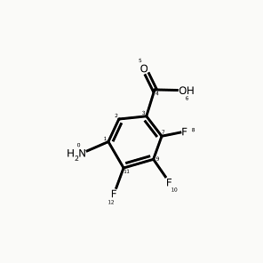 Nc1cc(C(=O)O)c(F)c(F)c1F